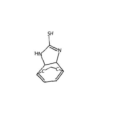 SC1=NC2C3=CC=C(CCC3)C2N1